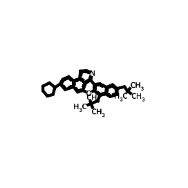 CC(C)(C)Cc1ccc2c(CC(C)(C)C)c3c(cc2c1)-c1nccc2c1c(cc1cc(C4CCCCC4)ccc12)O3